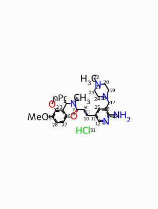 CCCOc1c(CN(C)C(=O)/C=C/c2cnc(N)c(CN3CCN(C)CC3)c2)cccc1OC.Cl